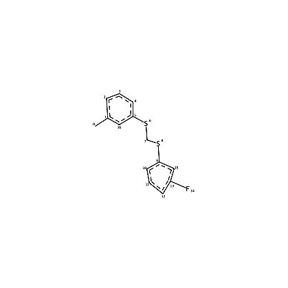 Cc1cccc(SCSc2cccc(F)c2)c1